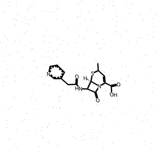 CC1C=C(C(=O)O)N2C(=O)C(NC(=O)Cc3cccnc3)[C@H]2S1